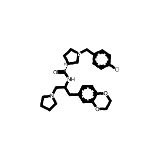 O=C(NC(Cc1ccc2c(c1)OCCO2)CN1CCCC1)[C@@H]1CCN(Cc2ccc(Cl)cc2)C1